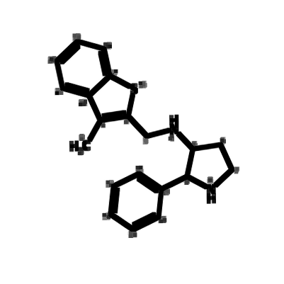 Cc1c(CNC2CCNC2c2ccccc2)sc2ccccc12